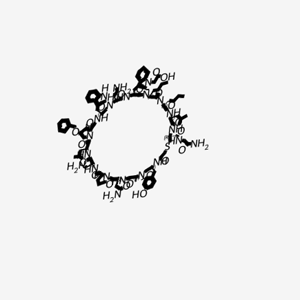 CCCC[C@@H]1C(=O)N[C@@H](CC(C)C)C(=O)N[C@H](C(=O)NCC(N)=O)CSCC(=O)N[C@@H](Cc2ccc(O)cc2)C(=O)N(C)[C@@H](C)C(=O)N[C@@H](CC(N)=O)C(=O)N2CCC[C@H]2C(=O)N[C@@H](CN)C(=O)N[C@@H](CC(C)C)C(=O)N2C[C@H](OCc3ccccc3)C[C@H]2C(=O)N[C@@H](Cc2c[nH]c3ccccc23)C(=O)N[C@@H](CCN)C(=O)N[C@@H](Cc2cn(CC(=O)O)c3ccccc23)C(=O)N(C)[C@@H](CCCC)C(=O)N1C